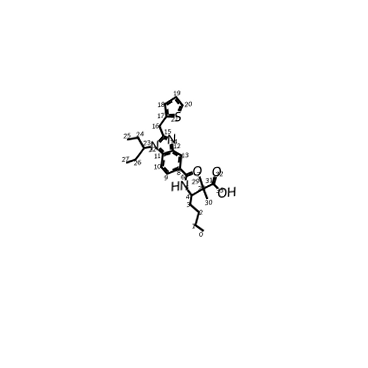 CCCCC(NC(=O)c1ccc2c(c1)nc(Cc1cccs1)n2C(CC)CC)C(C)(C)C(=O)O